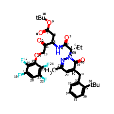 CC[C@@H](C(=O)NC(CC(=O)OC(C)(C)C)C(=O)COc1c(F)c(F)cc(F)c1F)n1nc(C)cc(Cc2ccccc2C(C)(C)C)c1=O